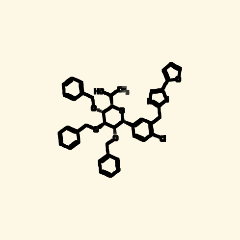 CC(O)[C@H]1O[C@@H](c2ccc(Cl)c(Cc3ncc(-c4ccco4)s3)c2)[C@H](OCc2ccccc2)[C@@H](OCc2ccccc2)[C@@H]1OCc1ccccc1